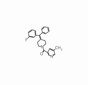 Cc1cncc(C(=O)N2CCC(=C(c3ccccc3)c3cccc(F)c3)CC2)c1